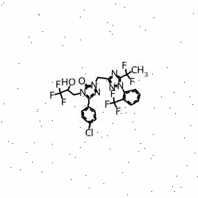 CC(F)(F)c1nc(Cn2nc(-c3ccc(Cl)cc3)n(CC(O)C(F)(F)F)c2=O)nn1-c1ccccc1C(F)(F)F